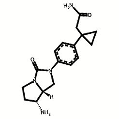 NC(=O)CC1(c2ccc(N3C[C@@H]4[C@H](N)CCN4C3=O)cc2)CC1